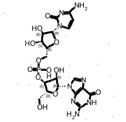 Nc1ccn([C@@H]2O[C@H](COP(=O)(O)O[C@H]3[C@@H](O)[C@H](n4cnc5c(=O)[nH]c(N)nc54)O[C@@H]3CO)[C@@H](O)[C@H]2O)c(=O)n1